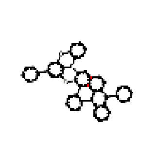 c1ccc(-c2cc3c4c(c2)Oc2c(cccc2-c2ccccc2-c2c5ccccc5c(-c5ccccc5)c5ccccc25)B4c2ccccc2O3)cc1